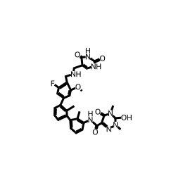 COc1cc(-c2cccc(-c3cccc(NC(=O)C4=NN(C)C(O)N(C)C4=O)c3C)c2C)cc(F)c1CNCc1c[nH]c(=O)[nH]c1=O